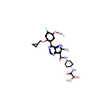 COc1cc(-c2ncnc3c(C(=O)N[C@H]4CC[C@@H](NC(=O)[C@H](C)O)CC4)c(C)[nH]c23)c(OCC2CC2)cc1F